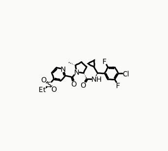 CCS(=O)(=O)c1ccnc(C(=O)N2[C@H](C)CC[C@@H]2C(=O)N[C@@H](c2cc(F)c(Cl)cc2F)C2CC2)c1